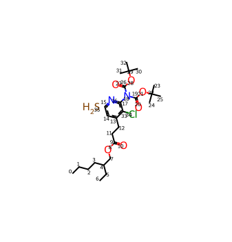 CCCCC(CC)COC(=O)CCc1ccnc(N(C(=O)OC(C)(C)C)C(=O)OC(C)(C)C)c1Cl.S